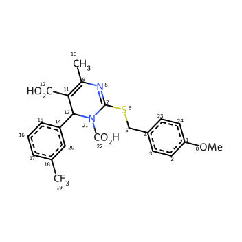 COc1ccc(CSC2=NC(C)=C(C(=O)O)C(c3cccc(C(F)(F)F)c3)N2C(=O)O)cc1